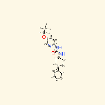 CC(C)(C)[Si](C)(C)Oc1ccc(NC(=O)N[C@H]2CC[C@H](c3ccccc3)CC2)nc1